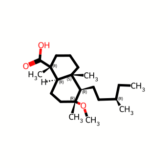 CC[C@@H](C)CC[C@@H]1[C@@]2(C)CCC[C@@](C)(C(=O)O)[C@@H]2CC[C@@]1(C)OC